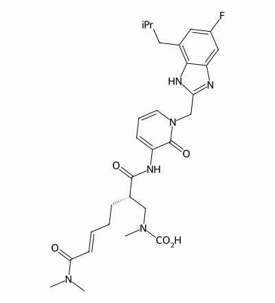 CC(C)Cc1cc(F)cc2nc(Cn3cccc(NC(=O)[C@@H](CC/C=C/C(=O)N(C)C)CN(C)C(=O)O)c3=O)[nH]c12